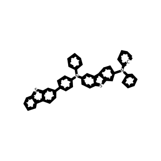 c1ccc(N(c2ccccc2)c2ccc3c(c2)sc2ccc(N(c4ccccc4)c4ccc(-c5ccc6c(c5)sc5ccccc56)cc4)cc23)cc1